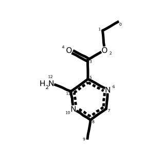 CCOC(=O)c1ncc(C)nc1N